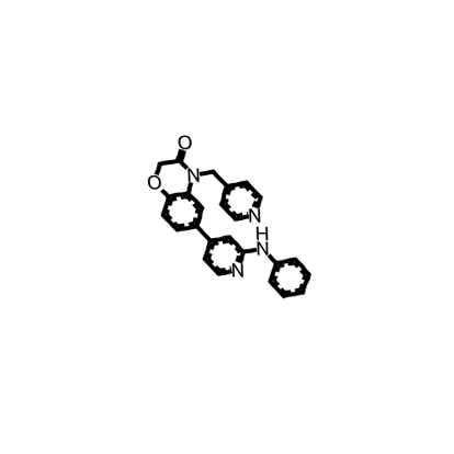 O=C1COc2ccc(-c3ccnc(Nc4ccccc4)c3)cc2N1Cc1ccncc1